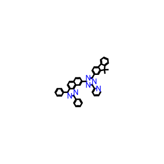 CC1(C)c2ccccc2-c2ccc(-c3nc(-c4ccc5ccc6c(-c7ccccc7)nc(-c7ccccc7)nc6c5c4)nc(-c4ccccn4)n3)cc21